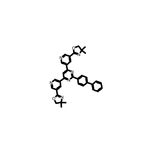 CC1(C)COC(c2cncc(-c3cc(-c4cncc(C5=NC(C)(C)CO5)c4)nc(-c4ccc(-c5ccccc5)cc4)n3)c2)=N1